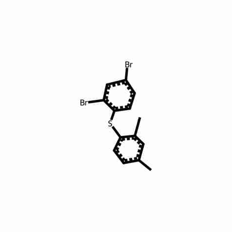 Cc1ccc(Sc2ccc(Br)cc2Br)c(C)c1